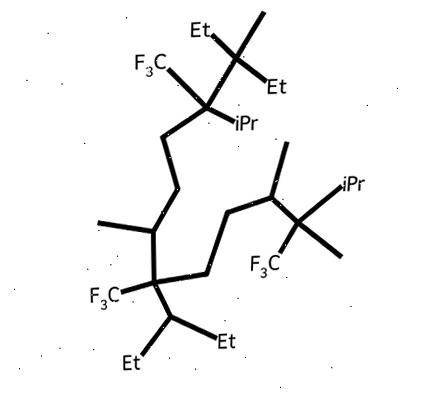 CCC(CC)C(CCC(C)C(C)(C(C)C)C(F)(F)F)(C(C)CCC(C(C)C)(C(F)(F)F)C(C)(CC)CC)C(F)(F)F